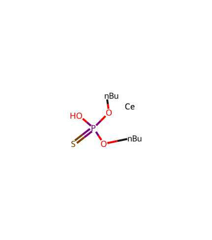 CCCCOP(O)(=S)OCCCC.[Ce]